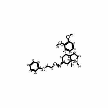 COc1ccc([C@@]23CCC(=NOCCOc4ccccc4)C[C@@H]2N(C)CC3)cc1OC